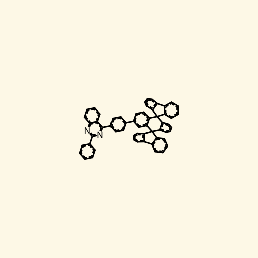 c1ccc(-c2nc(-c3ccc(-c4ccc5c(c4)C4(c6ccccc6-c6ccccc64)c4ccccc4C54c5ccccc5-c5ccccc54)cc3)c3ccccc3n2)cc1